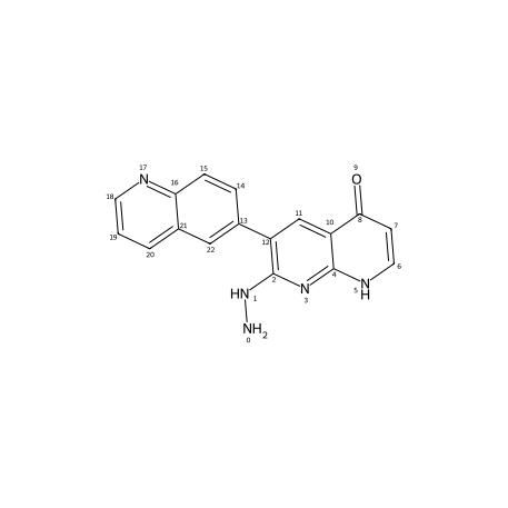 NNc1nc2[nH]ccc(=O)c2cc1-c1ccc2ncccc2c1